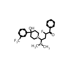 CN(C)C(CC(F)C(=O)c1ccccc1)N1CCC(O)(c2cccc(C(F)(F)F)c2)CC1